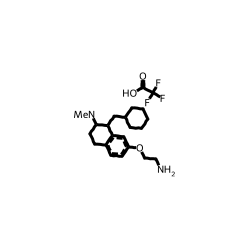 CNC1CCc2ccc(OCCN)cc2C1CC1CCCCC1.O=C(O)C(F)(F)F